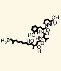 B/C=C(\C)CC/C=C/C=C/C(O)C(C)C(O)CC(=O)NC(C(=O)NC(Cc1cccc(O)c1)C(=O)N1CCCC(C(=O)O)N1)C(C)C